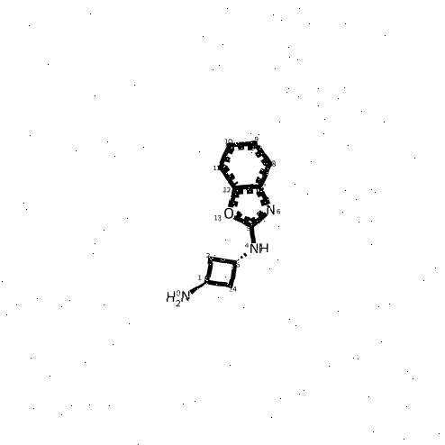 N[C@H]1C[C@H](Nc2nc3ccccc3o2)C1